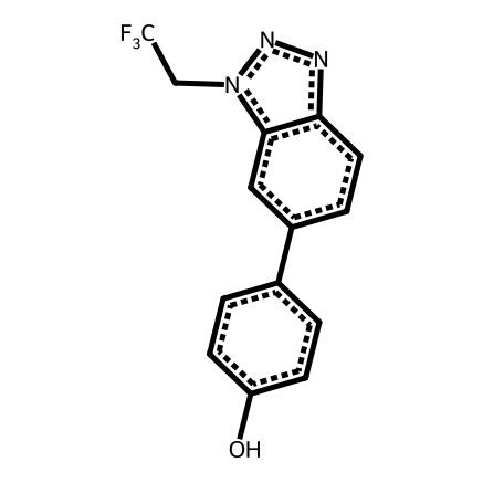 Oc1ccc(-c2ccc3nnn(CC(F)(F)F)c3c2)cc1